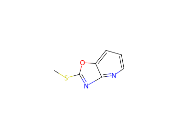 CSc1nc2ncccc2o1